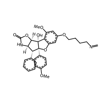 C=NCCCCOc1cc(OC)c2c(c1)O[C@@]1(c3ccc(OC)cc3)[C@H](c3ccccc3)[C@H]3NC(=O)O[C@H]3[C@@]21O